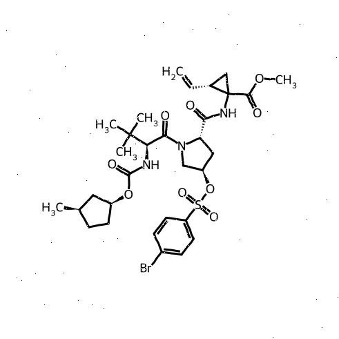 C=C[C@@H]1CC1(NC(=O)[C@@H]1C[C@@H](OS(=O)(=O)c2ccc(Br)cc2)CN1C(=O)[C@@H](NC(=O)O[C@H]1CC[C@@H](C)C1)C(C)(C)C)C(=O)OC